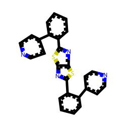 c1ccc(-c2nc3sc(-c4ccccc4-c4ccncc4)nc3s2)c(-c2ccncc2)c1